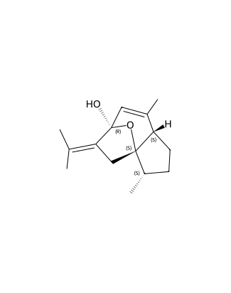 CC1=C[C@@]2(O)O[C@@]3(CC2=C(C)C)[C@@H](C)CC[C@@H]13